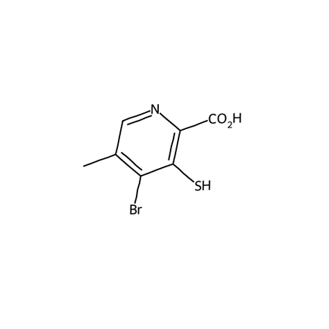 Cc1cnc(C(=O)O)c(S)c1Br